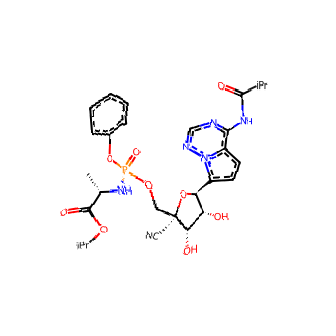 CC(C)OC(=O)[C@H](C)N[P@](=O)(OC[C@@]1(C#N)O[C@@H](c2ccc3c(NC(=O)C(C)C)ncnn23)[C@H](O)[C@@H]1O)Oc1ccccc1